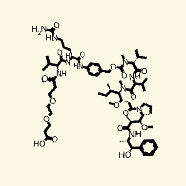 CC[C@@H](C)[C@H]([C@H](CC(=O)N1CCC[C@@H]1[C@@H](OC)[C@H](C)C(=O)N[C@@H](C)[C@H](O)c1ccccc1)OC)N(C)C(=O)C(NC(=O)[C@@H](C(C)C)N(C)C(=O)OCc1ccc(NC(=O)[C@H](CCCNC(N)=O)NC(=O)[C@@H](NC(=O)CCOCCOCCC(=O)O)C(C)C)cc1)C(C)C